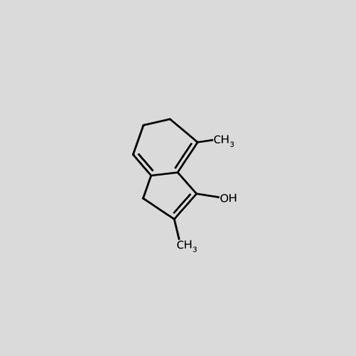 CC1=C(O)C2=C(C)CCC=C2C1